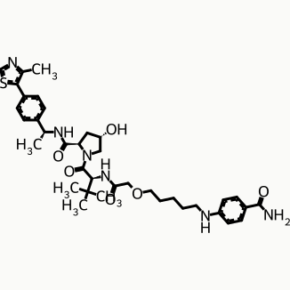 Cc1ncsc1-c1ccc([C@H](C)NC(=O)[C@H]2C[C@H](O)CN2C(=O)[C@@H](NC(=O)COCCCCCNc2ccc(C(N)=O)cc2)C(C)(C)C)cc1